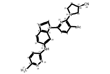 CC(=O)c1ccc(-n2cnc3ccc(Nc4ccc(C)nn4)cc32)nc1N1CC[C@@H](C#N)C1